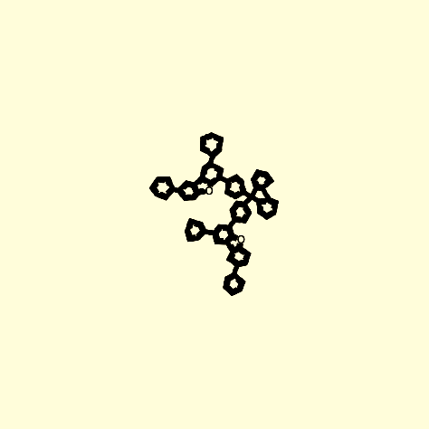 c1ccc(-c2ccc3oc4c(-c5ccc(C6(c7ccc(-c8cc(-c9ccccc9)cc9c8oc8ccc(-c%10ccccc%10)cc89)cc7)c7ccccc7-c7ccccc76)cc5)cc(-c5ccccc5)cc4c3c2)cc1